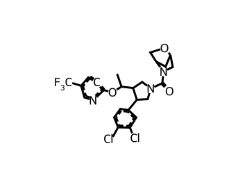 CC(Oc1ccc(C(F)(F)F)cn1)C1CN(C(=O)N2CC3CC2CO3)CC1c1ccc(Cl)c(Cl)c1